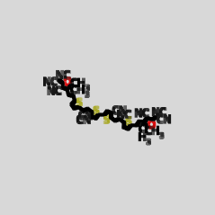 [C-]#[N+]C1=C(/C=C/c2ccc(/C(=C/c3sc(-c4cc([N+]#[C-])c(/C=C(\C#N)c5ccc(/C=C/C6=C(C#N)C(=C(\C#N)[N+]#[C-])/OC6(C)C)s5)s4)cc3C#N)[N+]#[C-])s2)C(C)(C)O/C1=C(\C#N)[N+]#[C-]